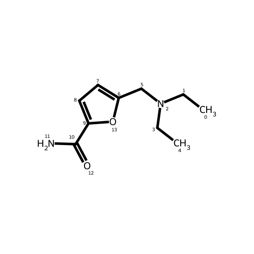 CCN(CC)Cc1ccc(C(N)=O)o1